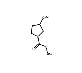 [CH2]OC1CCN(C(=O)OC(C)(C)C)C1